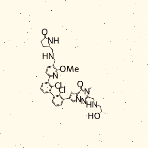 COc1nc(-c2cccc(-c3cccc(-c4cc5c(=O)n(C)c(CNC[C@H](C)O)nn5c4)c3Cl)c2Cl)ccc1CNC[C@H]1CCC(=O)N1